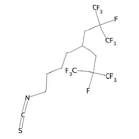 FC(F)(F)C(F)(CC(CCCCN=C=S)CC(F)(C(F)(F)F)C(F)(F)F)C(F)(F)F